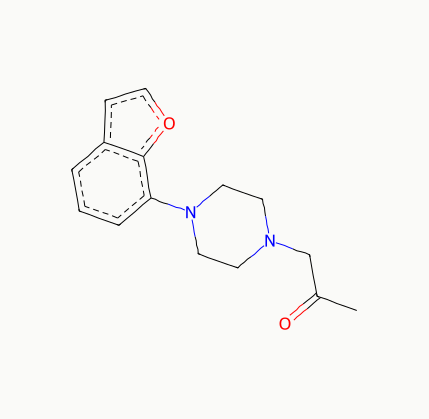 CC(=O)CN1CCN(c2cccc3ccoc23)CC1